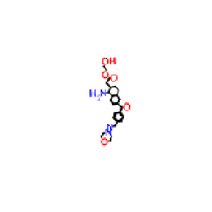 NC1c2ccc(C(=O)c3ccc(C=NN4CCOCC4)cc3)cc2CCC1CC(=O)OCCO